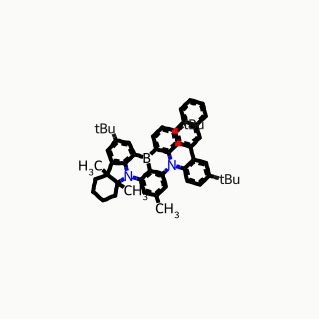 Cc1cc2c3c(c1)N1c4c(cc(C(C)(C)C)cc4C4(C)CCCCC14C)B3c1ccc(C(C)(C)C)cc1N2c1ccc(C(C)(C)C)cc1-c1ccc2ccccc2c1